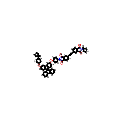 CCC(C)(CC)c1ccc(Oc2ccc(C3(c4ccc(Oc5ccc(N6C(=O)c7ccc(C#Cc8ccc9c(c8)C(=O)N(C(C)(CC)CC)C9=O)cc7C6=O)cc5)cc4)c4ccccc4-c4ccccc43)cc2)cc1